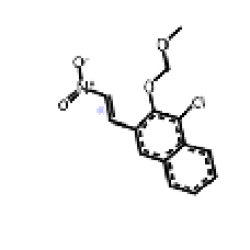 COCOc1c(/C=C/[N+](=O)[O-])cc2ccccc2c1Cl